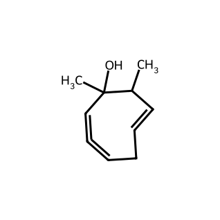 CC1/C=C/CC=C=CC1(C)O